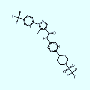 Cc1c(C(=O)Nc2ccc(C3CCN(S(=O)(=O)C(F)(F)F)CC3)nc2)cnn1-c1ccc(C(F)(F)F)cn1